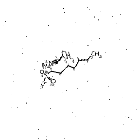 CC#N.CCCCCCCS(=O)(=O)[O-].[Na+]